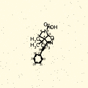 CC(C)(C)C12CCN(C(=O)O)C1ON=C2C#Cc1ccccc1